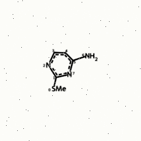 [CH2]Sc1nccc(N)n1